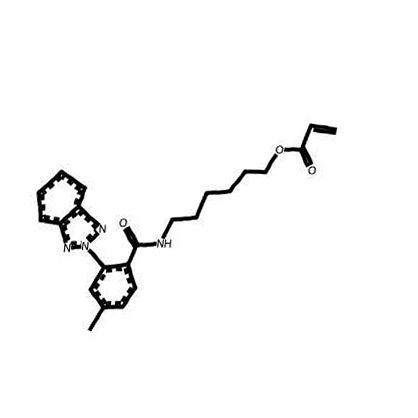 C=CC(=O)OCCCCCCNC(=O)c1ccc(C)cc1-n1nc2ccccc2n1